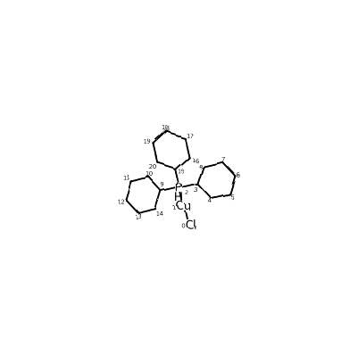 [Cl][Cu][PH](C1CCCCC1)(C1CCCCC1)C1CCCCC1